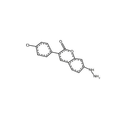 NNc1ccc2cc(-c3ccc(Cl)cc3)c(=O)oc2c1